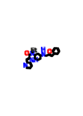 CCN(C(=O)c1cc2ncccc2[nH]1)C1CCCC(NCc2cc3ccccc3o2)C1